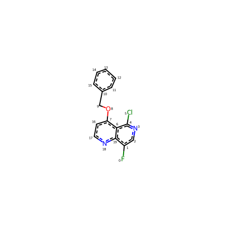 Fc1cnc(Cl)c2c(OCc3ccccc3)ccnc12